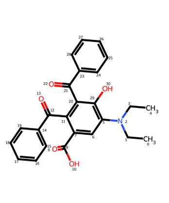 CCN(CC)c1cc(C(=O)O)c(C(=O)c2ccccc2)c(C(=O)c2ccccc2)c1O